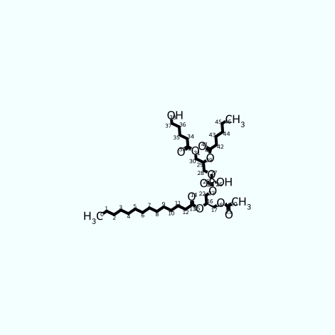 CCCCCCCCCCCCCC(=O)O[C@H](COC(C)=O)COP(=O)(O)OCC(COC(=O)CCCCO)OC(=O)CCCCC